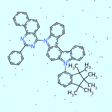 CC1(C)c2cccc(-n3c4ccccc4c4c5c6ccccc6n(-c6nc(-c7ccccc7)nc7c6ccc6ccccc67)c5ccc43)c2C(C)(C)C1(C)C